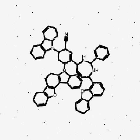 N#CC1C=C(C2C=CC(c3cccc4c5c(oc34)=CCCC=5)NC(c3ccccc3)N2)C(N2C3=C(c4oc5c(c4CC3)CCC=C5)C3C=CC=CC32)CC1N1C2=C(CCC=C2)C2C=CCCC21